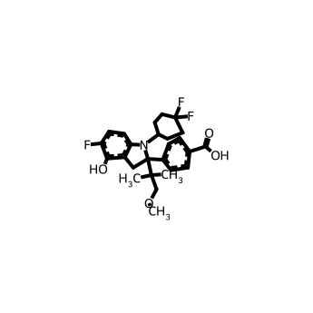 COCC(C)(C)C1(c2ccc(C(=O)O)cc2)Cc2c(ccc(F)c2O)N1C1CCC(F)(F)CC1